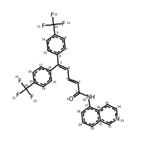 O=C(C=CC=C(c1ccc(C(F)(F)F)cc1)c1ccc(C(F)(F)F)cc1)Nc1cccc2cnccc12